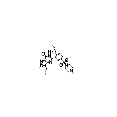 CCCc1c2nc(-c3cc(S(=O)(=O)N4CCN(C)CC4)ccc3OCC)[nH]c(=O)c2nn1C